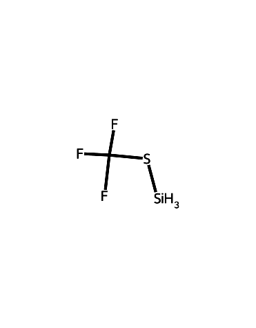 FC(F)(F)S[SiH3]